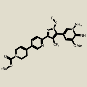 COc1cc(-c2c(C(F)(F)F)c(-c3ccc(C4=CCN(C(=O)OC(C)(C)C)CC4)cn3)nn2SF)cn(N)c1=N